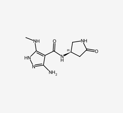 CNc1[nH]nc(N)c1C(=O)N[C@H]1CNC(=O)C1